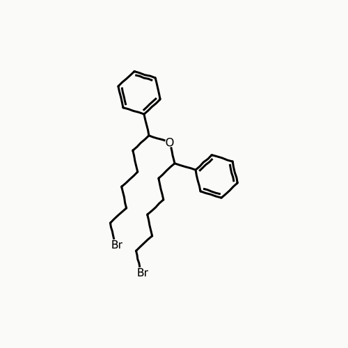 BrCCCCCC(OC(CCCCCBr)c1ccccc1)c1ccccc1